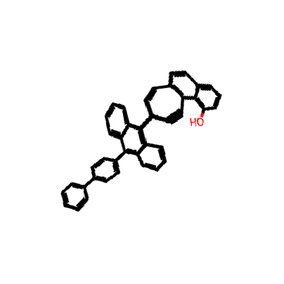 Oc1cccc2ccc3c(c12)C#CC(c1c2ccccc2c(-c2ccc(-c4ccccc4)cc2)c2ccccc12)C=C3